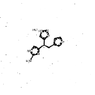 Cl.Nc1nc(C(Cc2ccoc2)c2c[nH]nn2)c[nH]1